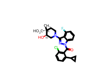 C[C@@]1(C(=O)O)CCN(c2nn(C(=O)c3c(Cl)cccc3C3CC3)c3cccc(F)c23)C[C@H]1O